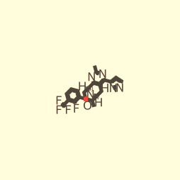 Cc1nc(-c2ccn[nH]2)c2c(n1)[C@@H]1CCC(C)[C@H](C2)N1C(=O)c1cccc(C(F)(F)F)c1F